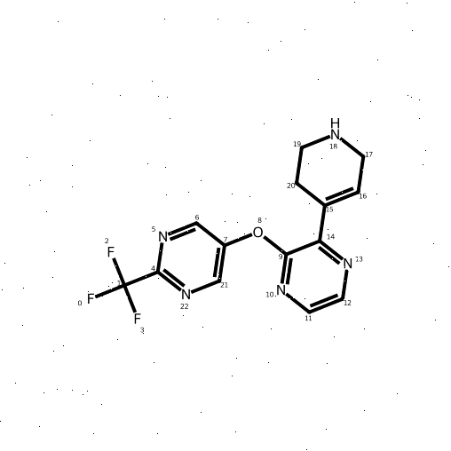 FC(F)(F)c1ncc(Oc2nccnc2C2=CCNCC2)cn1